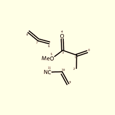 C=C(C)C(=O)OC.C=C=C.C=CC#N